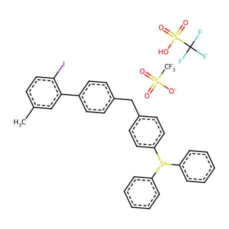 Cc1ccc(I)c(-c2ccc(Cc3ccc([S+](c4ccccc4)c4ccccc4)cc3)cc2)c1.O=S(=O)(O)C(F)(F)F.O=S(=O)([O-])C(F)(F)F